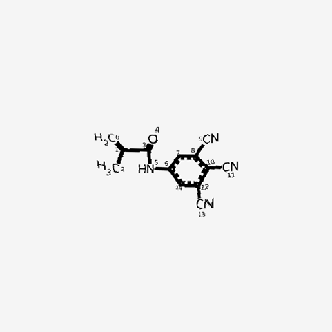 C=C(C)C(=O)Nc1cc(C#N)c(C#N)c(C#N)c1